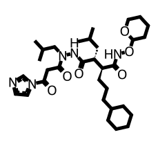 CC(C)C[C@@H](C(=O)NN(CC(C)C)C(=O)CC(=O)n1ccnc1)[C@H](CCCC1CCCCC1)C(=O)NOC1CCCCO1